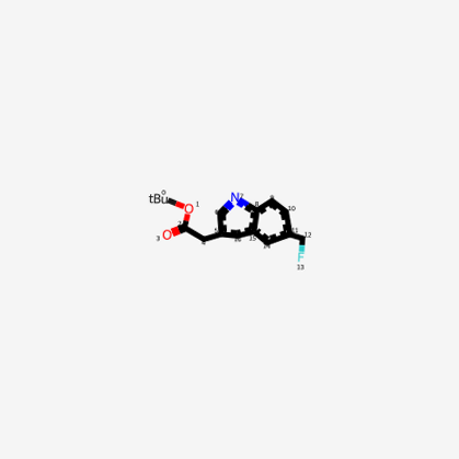 CC(C)(C)OC(=O)Cc1cnc2ccc(CF)cc2c1